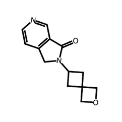 O=C1c2cnccc2CN1C1CC2(COC2)C1